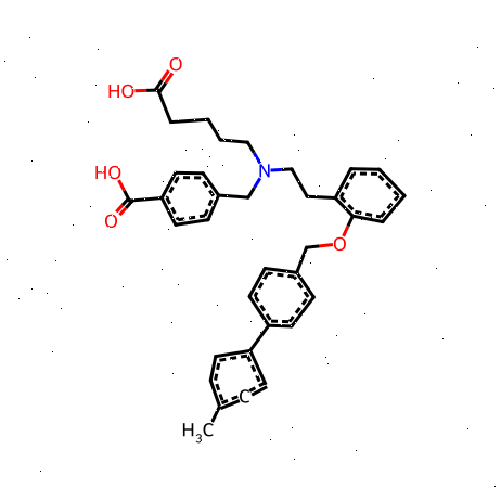 Cc1ccc(-c2ccc(COc3ccccc3CCN(CCCCC(=O)O)Cc3ccc(C(=O)O)cc3)cc2)cc1